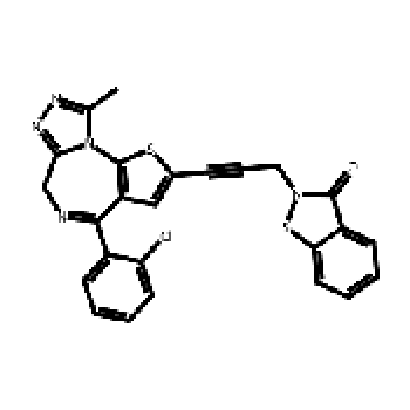 Cc1nnc2n1-c1sc(C#CCn3sc4ccccc4c3=O)cc1C(c1ccccc1Cl)=NC2